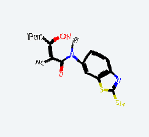 CCCC(C)C(O)=C(C#N)C(=O)N(c1ccc2nc(S)sc2c1)C(C)C